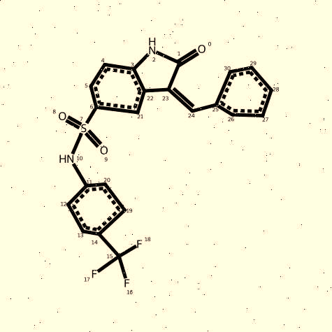 O=C1Nc2ccc(S(=O)(=O)Nc3ccc(C(F)(F)F)cc3)cc2C1=Cc1ccccc1